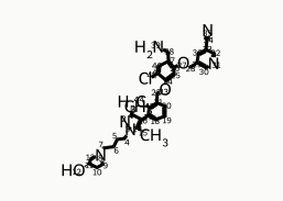 Cc1nn(CCCCN2CC[C@H](O)C2)c(C)c1-c1cccc(COc2cc(OCc3cncc(C#N)c3)c(CN)cc2Cl)c1C